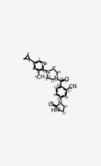 Cc1cc(C2CC2)cnc1N1CCN(C(=O)c2ccc(N3CCNC3=O)cc2C#N)CC1